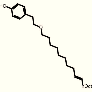 CCCCCCCCC=CCCCCCCCCOCCc1ccc(O)cc1